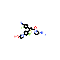 N#Cc1ccc(-c2cc(C(=O)N3CCC[C@@H](N)C3)sc2-c2ccc(N3CC[C@@H](O)C3)cc2F)cc1F